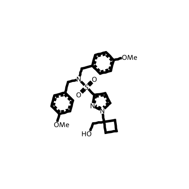 COc1ccc(CN(Cc2ccc(OC)cc2)S(=O)(=O)c2ccn(C3(CO)CCC3)n2)cc1